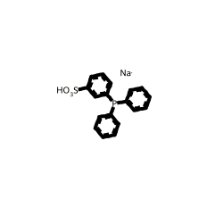 O=S(=O)(O)c1cccc(P(c2ccccc2)c2ccccc2)c1.[Na]